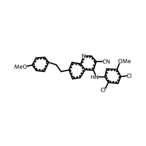 COc1ccc(CCc2ccc3c(Nc4cc(OC)c(Cl)cc4Cl)c(C#N)cnc3c2)cc1